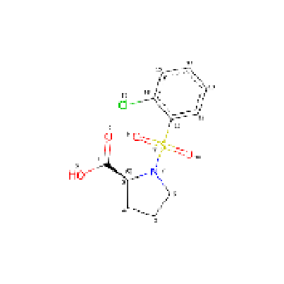 O=C(O)[C@@H]1CCCN1S(=O)(=O)c1ccccc1Cl